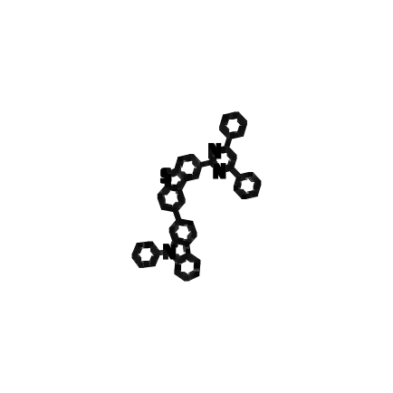 c1ccc(-c2cc(-c3ccccc3)nc(-c3ccc4sc5ccc(-c6ccc7c8ccccc8n(-c8ccccc8)c7c6)cc5c4c3)n2)cc1